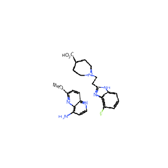 COc1ccc2nccc(N)c2n1.O=C(O)C1CCN(CCc2nc3c(F)cccc3[nH]2)CC1